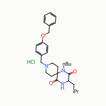 CCCCN1C(=O)C(CC(C)C)NC(=O)C12CCN(Cc1ccc(OCc3ccccc3)cc1)CC2.Cl